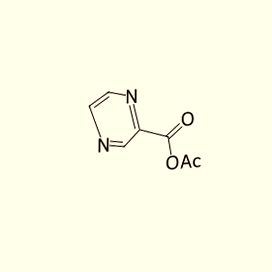 CC(=O)OC(=O)c1cnccn1